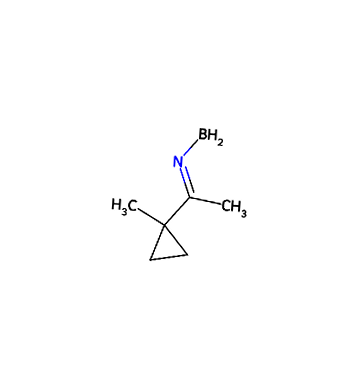 B/N=C(\C)C1(C)CC1